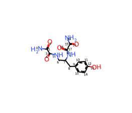 NC(=O)C(=O)NCC(Cc1ccc(O)cc1)NC(=O)C(N)=O